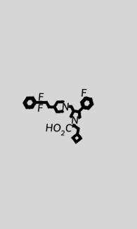 O=C(O)C(CC1CCC1)N1CC(CN2CCC(CCC(F)(F)c3ccccc3)CC2)C(c2cccc(F)c2)C1